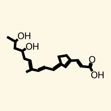 CC(C=CC=C1C=C(C=CC(=O)O)CC1)=CCC(O)CC(C)O